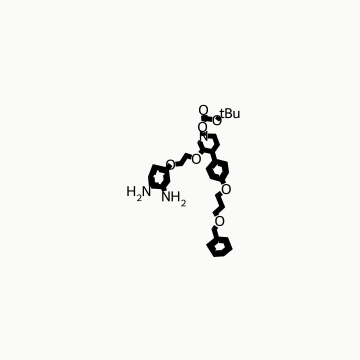 CC(C)(C)OC(=O)ON1CCC(c2ccc(OCCCOCc3ccccc3)cc2)C(OCCOc2ccc(N)c(N)c2)C1